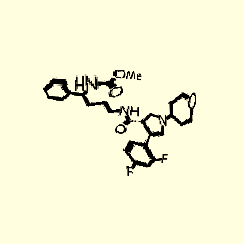 COC(=O)NC(CCCNC(=O)[C@@H]1CN(C2CCOCC2)C[C@H]1c1ccc(F)cc1F)c1ccccc1